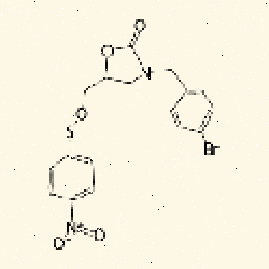 O=C1OC(COSc2ccc([N+](=O)[O-])cc2)CN1Cc1ccc(Br)cc1